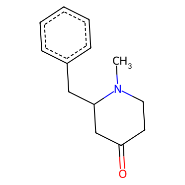 CN1CCC(=O)CC1Cc1ccccc1